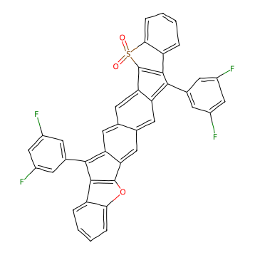 O=S1(=O)C2=C(C(c3cc(F)cc(F)c3)=c3cc4cc5c(cc4cc32)=C(c2cc(F)cc(F)c2)c2c-5oc3ccccc23)c2ccccc21